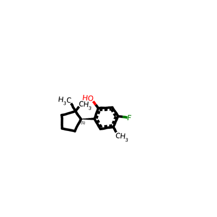 Cc1cc([C@H]2CCCC2(C)C)c(O)cc1F